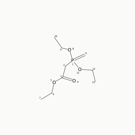 C=P(CC(=O)OCC)(OCC)OCC